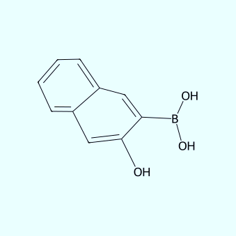 OB(O)c1cc2ccccc2cc1O